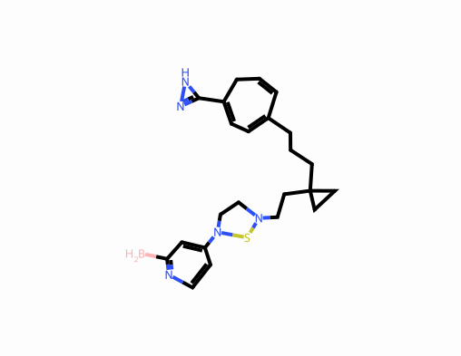 Bc1cc(N2CCN(CCC3(CCCC4=CC=C(C5=NN5)CC=C4)CC3)S2)ccn1